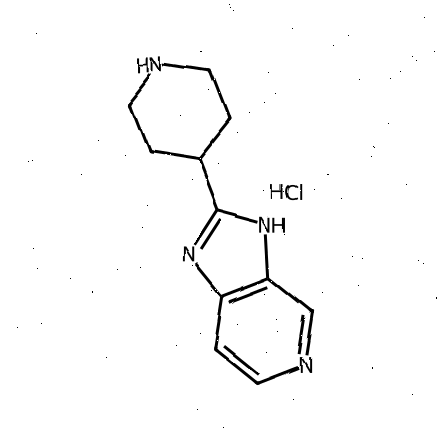 Cl.c1cc2nc(C3CCNCC3)[nH]c2cn1